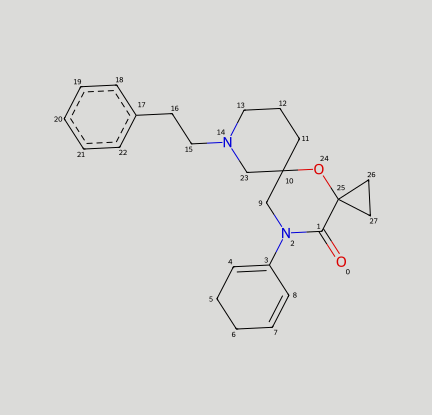 O=C1N(C2=CCCC=C2)CC2(CCCN(CCc3ccccc3)C2)OC12CC2